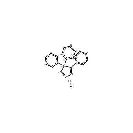 [Cl-].[Zn].c1ccc(C2=NN=N[N+]2(c2ccccc2)c2ccccc2)cc1